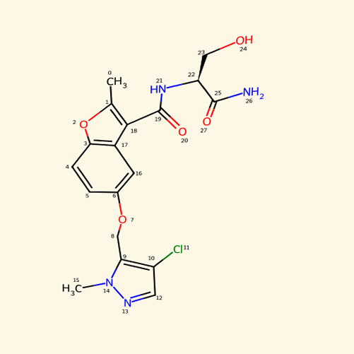 Cc1oc2ccc(OCc3c(Cl)cnn3C)cc2c1C(=O)N[C@@H](CO)C(N)=O